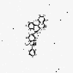 Cn1c(-c2ccccc2)nc2cc(-c3cc4ccc5ccccc5c4c4ccccc34)ccc21